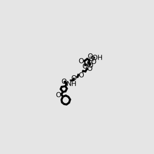 O=C(CCOCCOCCNC(=O)C1CCC(C(=O)C2CCCCCCCC2)CC1)ON1C(=O)CC(S(=O)(=O)O)C1=O